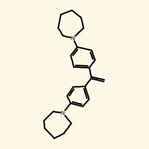 C=C(c1ccc(N2CCCCCC2)cc1)c1ccc(N2CCCCCC2)cc1